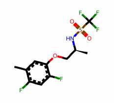 Cc1cc(OC[C@H](C)NS(=O)(=O)C(F)(F)F)c(F)cc1F